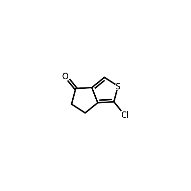 O=C1CCc2c1csc2Cl